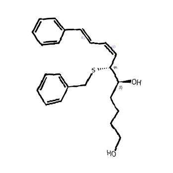 OCCCC[C@H](O)[C@@H](/C=C\C=C\c1ccccc1)SCc1ccccc1